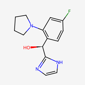 O[C@H](c1ncc[nH]1)c1ccc(F)cc1N1CCCC1